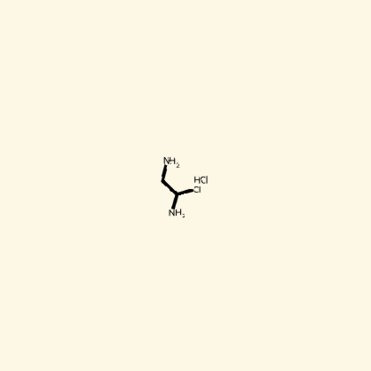 Cl.NCC(N)Cl